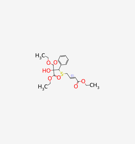 CCOC(=O)/C=C/CSC(c1ccccc1)C(O)(C(=O)OCC)C(=O)OCC